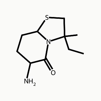 CCC1(C)CSC2CCC(N)C(=O)N21